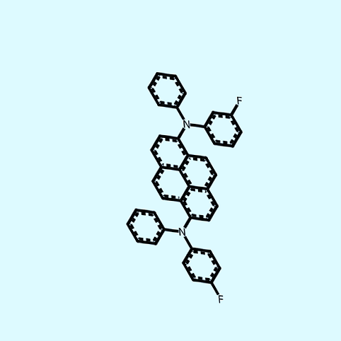 Fc1ccc(N(c2ccccc2)c2ccc3ccc4c(N(c5ccccc5)c5cccc(F)c5)ccc5ccc2c3c54)cc1